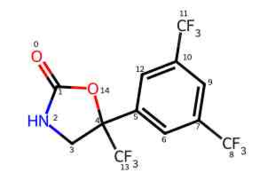 O=C1NCC(c2cc(C(F)(F)F)cc(C(F)(F)F)c2)(C(F)(F)F)O1